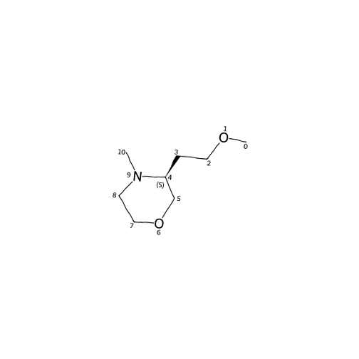 COCC[C@H]1COCCN1C